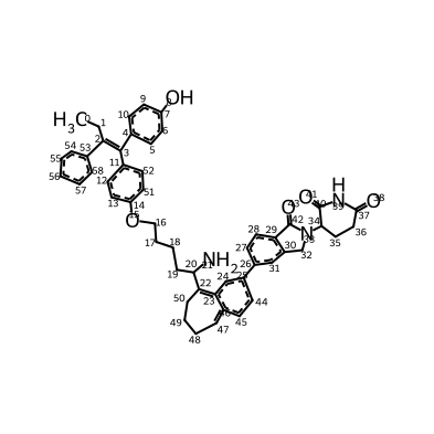 CC/C(=C(\c1ccc(O)cc1)c1ccc(OCCCCC(N)C2=c3cc(-c4ccc5c(c4)CN(C4CCC(=O)NC4=O)C5=O)ccc3=CCCC2)cc1)c1ccccc1